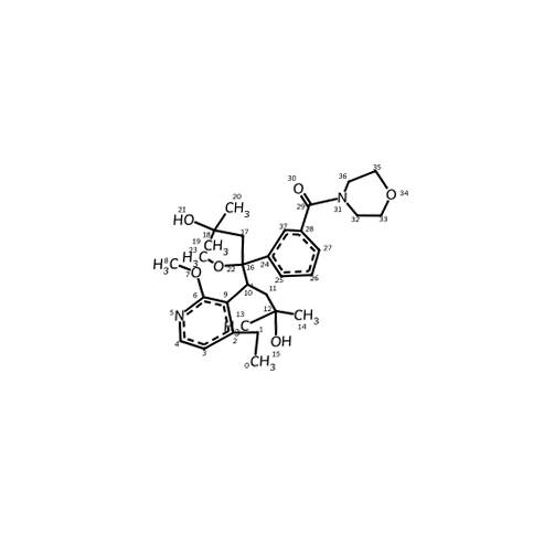 CCc1ccnc(OC)c1[C](CC(C)(C)O)C(CC(C)(C)O)(OC)c1cccc(C(=O)N2CCOCC2)c1